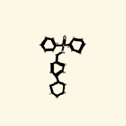 O=P(OCc1ccc(C2CCCCC2)cc1)(c1ccccc1)c1ccccc1